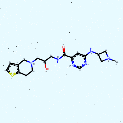 CC(=O)N1CC(Nc2cc(C(=O)NCC(O)CN3CCc4sccc4C3)ncn2)C1